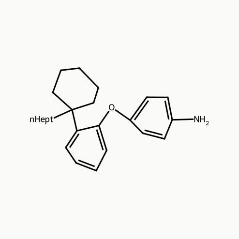 CCCCCCCC1(c2ccccc2Oc2ccc(N)cc2)CCCCC1